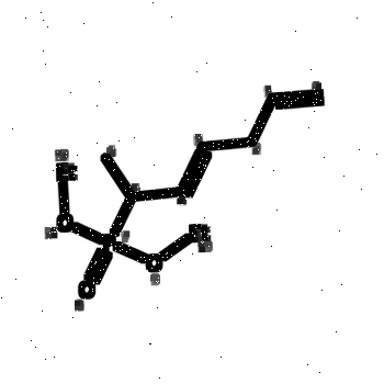 C=CCC=CC(C)P(=O)(OCC)OCC